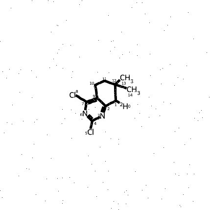 [2H]C1c2nc(Cl)nc(Cl)c2CCC1(C)C